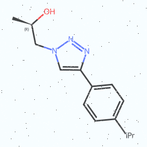 CC(C)c1ccc(-c2cn(C[C@@H](C)O)nn2)cc1